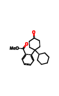 COC(=O)c1ccccc1C1(C2CCCCC2)CCC(=O)CC1